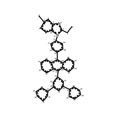 CCc1nc2cc(C)ccc2n1-c1ccc(-c2c3ccccc3c(-c3cc(-c4ccccc4)cc(-c4ccccc4)c3)c3ccccc23)cc1